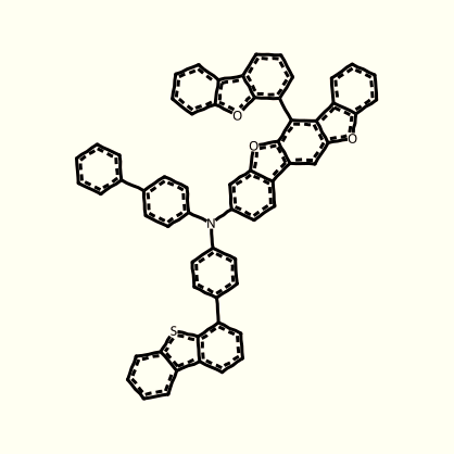 c1ccc(-c2ccc(N(c3ccc(-c4cccc5c4sc4ccccc45)cc3)c3ccc4c(c3)oc3c(-c5cccc6c5oc5ccccc56)c5c(cc34)oc3ccccc35)cc2)cc1